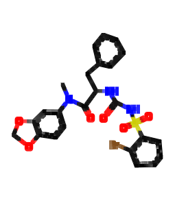 CN(C(=O)C(Cc1ccccc1)NC(=O)NS(=O)(=O)c1ccccc1Br)c1ccc2c(c1)OCO2